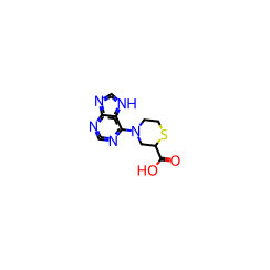 O=C(O)C1CN(c2ncnc3nc[nH]c23)CCS1